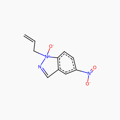 C=CC[N+]1([O-])N=Cc2cc([N+](=O)[O-])ccc21